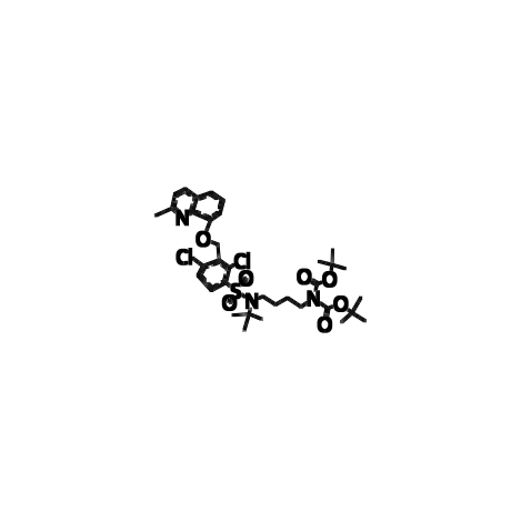 Cc1ccc2cccc(OCc3c(Cl)ccc(S(=O)(=O)N(CCCCN(C(=O)OC(C)(C)C)C(=O)OC(C)(C)C)C(C)(C)C)c3Cl)c2n1